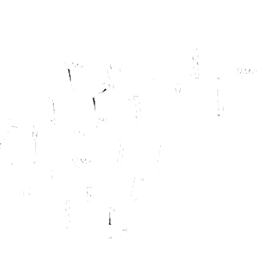 CC[C@H](C)[C@@H]([C@@H](CC(=O)N1CCC[C@H]1[C@H](OC)[C@@H](C)C(=O)N[C@@H](Cc1ccccc1)C(=O)O)OC)N(C)C(=O)CNC(=O)C(NC)C(C)C